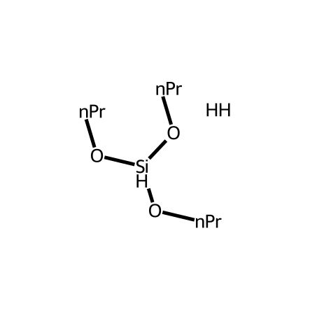 CCCO[SiH](OCCC)OCCC.[HH]